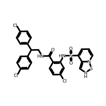 O=C(NCC(c1ccc(Cl)cc1)c1ccc(Cl)cc1)c1ccc(Cl)cc1NS(=O)(=O)C1=CC=CN2SNC=C12